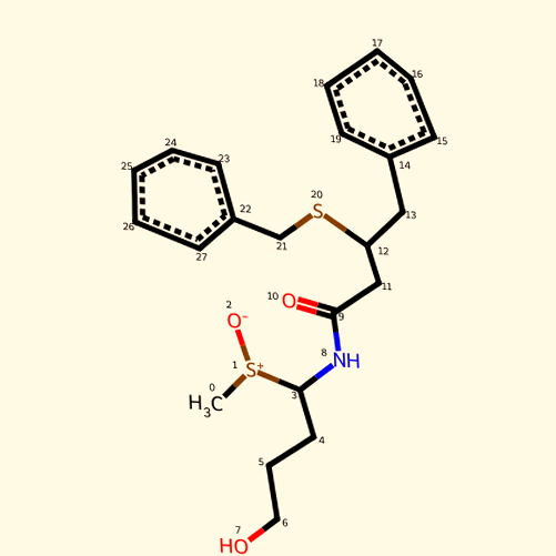 C[S+]([O-])C(CCCO)NC(=O)CC(Cc1ccccc1)SCc1ccccc1